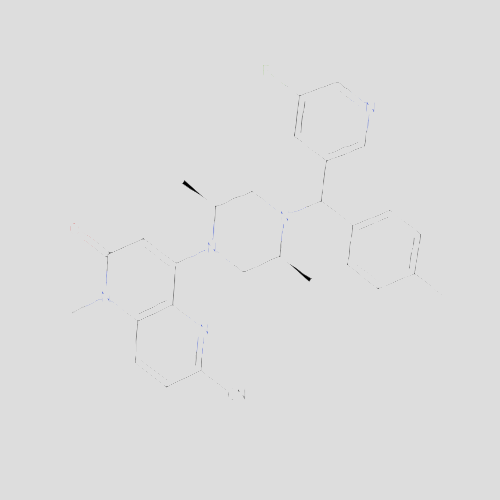 Cc1ccc(C(c2cncc(F)c2)N2C[C@H](C)N(c3cc(=O)n(C)c4ccc(C#N)nc34)C[C@@H]2C)cc1